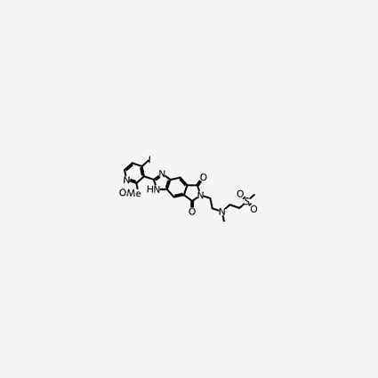 COc1nccc(I)c1-c1nc2cc3c(cc2[nH]1)C(=O)N(CCN(C)CCS(C)(=O)=O)C3=O